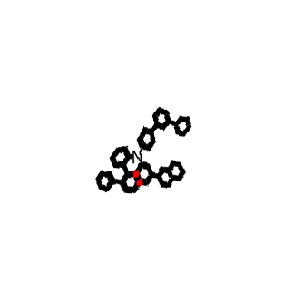 c1ccc(-c2cccc(-c3ccc(N(c4cccc(-c5ccc6ccccc6c5)c4)c4ccccc4-c4ccccc4-c4ccccc4)cc3)c2)cc1